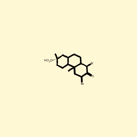 CC12CC(Br)C(=O)C(Br)C1CCC1C[C@@](C)(C(=O)O)CCC12